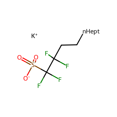 CCCCCCCCCC(F)(F)C(F)(F)S(=O)(=O)[O-].[K+]